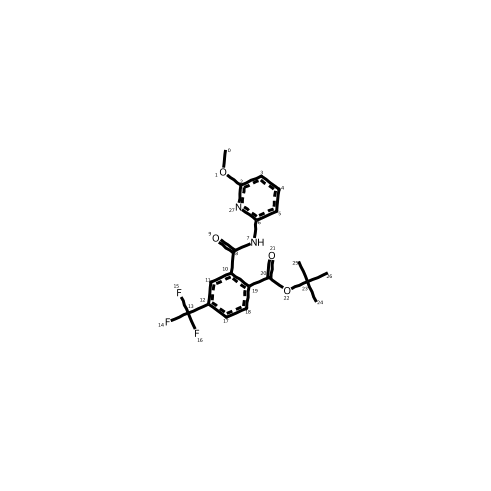 COc1cccc(NC(=O)c2cc(C(F)(F)F)ccc2C(=O)OC(C)(C)C)n1